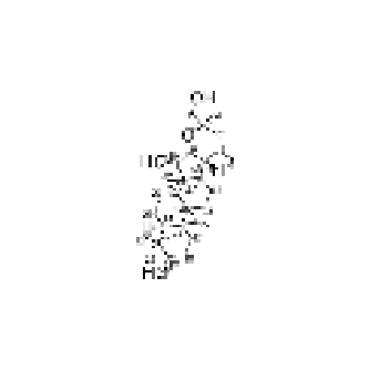 C[C@@H]1CC(C)(CO)OC2[C@H]1C1(C)CCC34CC35CCC(O)C(C)(C)[C@@H]5CCC4[C@]1(C)[C@H]2O